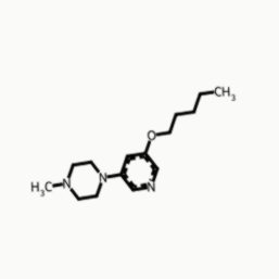 CCCCCOc1cncc(N2CCN(C)CC2)c1